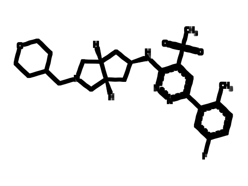 Cc1ccc(F)cc1-c1cc(S(C)(=O)=O)c(N[C@H]2C[C@@H]3CN(CC4CCOCC4)C[C@@H]3C2)nn1